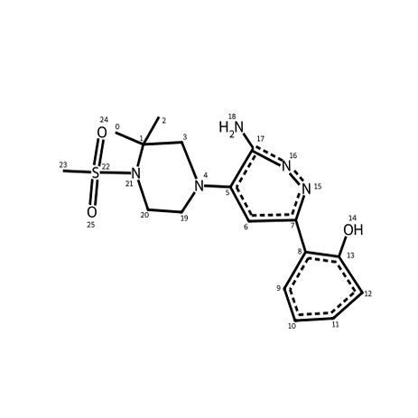 CC1(C)CN(c2cc(-c3ccccc3O)nnc2N)CCN1S(C)(=O)=O